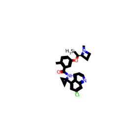 Cc1ccc(OC([SiH3])[C@@H]2CCN2C)cc1C(=O)NC1(c2cc(Cl)cc3ncccc23)CC1